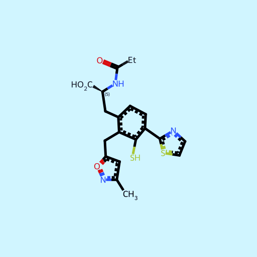 CCC(=O)N[C@@H](Cc1ccc(-c2nccs2)c(S)c1Cc1cc(C)no1)C(=O)O